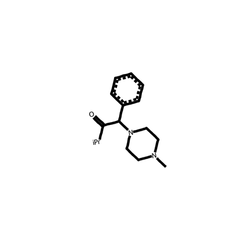 CC(C)C(=O)C(c1ccccc1)N1CCN(C)CC1